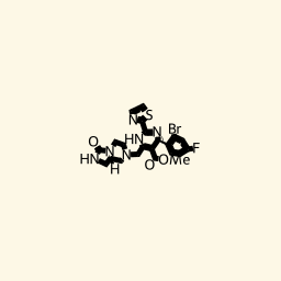 COC(=O)C1=C(CN2CCN3C(=O)NC[C@H]3C2)NC(c2nccs2)=N[C@H]1c1ccc(F)cc1Br